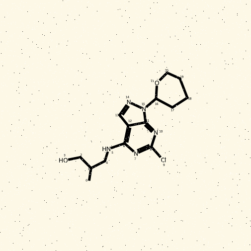 CC(CO)CNc1nc(Cl)nc2c1cnn2C1CCCCO1